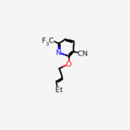 CCC=CCOc1nc(C(F)(F)F)ccc1C#N